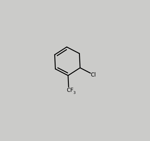 FC(F)(F)C1=CC=CCC1Cl